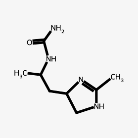 CC1=NC(CC(C)NC(N)=O)CN1